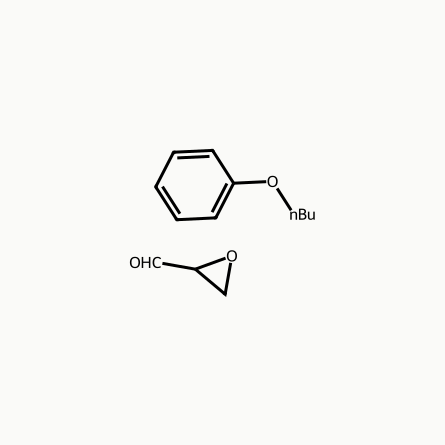 CCCCOc1ccccc1.O=CC1CO1